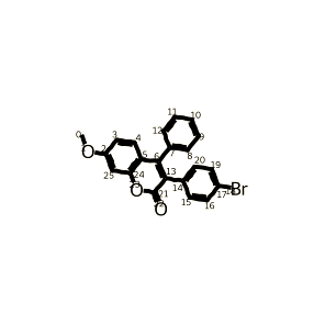 COc1ccc2c(-c3ccccc3)c(-c3ccc(Br)cc3)c(=O)oc2c1